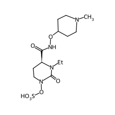 CCN1C(=O)N(OS(=O)(=O)O)CC[C@H]1C(=O)NOC1CCN(C)CC1